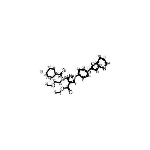 CCOC(=O)c1cn(-c2ccc(-c3cc4ncccc4o3)cc2)nc1N(CCOC)C(=O)[C@H]1CC[C@H](C)CC1